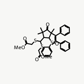 COC(=O)CSC(SCC(=O)OC)C1C([S+]([O-])c2ccccc2)C(C)(/C(=C(\C)c2ccccc2)c2ccccc2)C(=O)C1(C)C